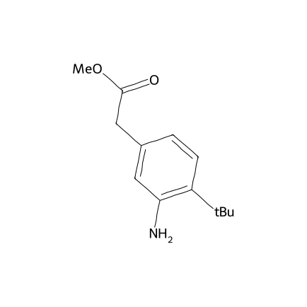 COC(=O)Cc1ccc(C(C)(C)C)c(N)c1